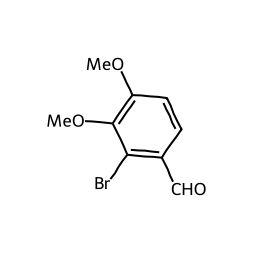 COc1ccc(C=O)c(Br)c1OC